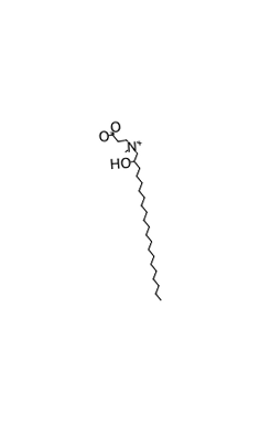 CCCCCCCCCCCCCCCCCCCC(O)C[N+](C)(C)CCC(=O)[O-]